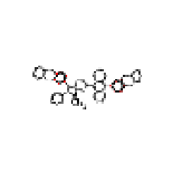 Cn1c(-c2ccccc2)c(-c2ccc3c(c2)C2c4ccccc4C3c3ccccc32)c2ccc(-c3c4ccccc4c(-c4ccc5c(c4)C4c6ccccc6C5c5ccccc54)c4ccccc34)cc21